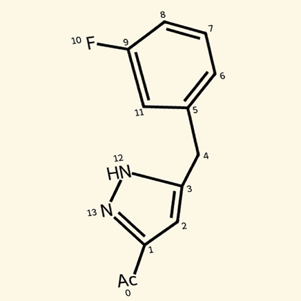 CC(=O)c1cc(Cc2cccc(F)c2)[nH]n1